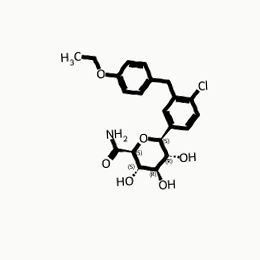 CCOc1ccc(Cc2cc([C@@H]3O[C@H](C(N)=O)[C@@H](O)[C@H](O)[C@H]3O)ccc2Cl)cc1